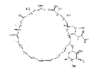 CNC(=O)NC1[C@@H]2CC(OC3O[C@H](C)[C@@H](O)[C@H](N)[C@@H]3O)/C=C/C=C/C=C/C=C/C=C/C=C/C=C/[C@H](C)[C@@H](O)[C@@H](C)[C@H](C)OC(=O)C[C@H](O)C[C@H](O)CC[C@@H](O)[C@H](O)C[C@H](O)C[C@](O)(C[C@@H]1O)O2